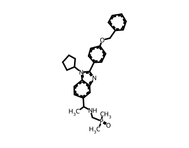 CC(NCP(C)(C)=O)c1ccc2c(c1)nc(-c1ccc(OCc3ccccc3)cc1)n2C1CCCC1